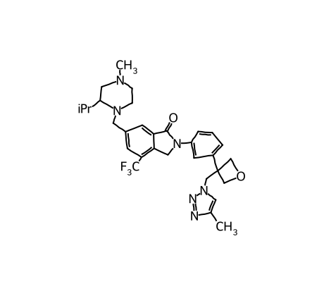 Cc1cn(CC2(c3cccc(N4Cc5c(cc(CN6CCN(C)CC6C(C)C)cc5C(F)(F)F)C4=O)c3)COC2)nn1